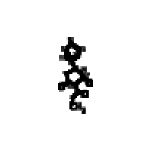 CCC(=O)C1C(=O)CC(C2CC3C=CC2C3)CC1=O